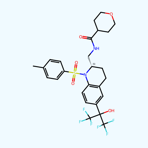 Cc1ccc(S(=O)(=O)N2c3ccc(C(O)(C(F)(F)F)C(F)(F)F)cc3CC[C@H]2CNC(=O)C2CCOCC2)cc1